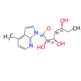 CC[C@H](O)[C@H]1O[C@@H](n2ccc3c(C)ccnc32)[C@H](O)[C@@H]1O